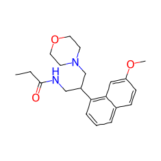 CCC(=O)NCC(CN1CCOCC1)c1cccc2ccc(OC)cc12